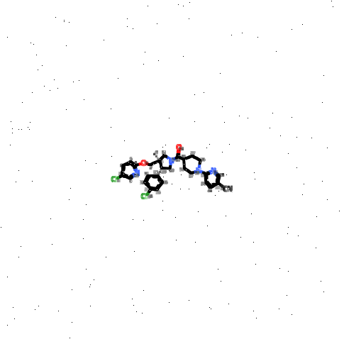 C[C@]1(COc2ccc(Cl)cn2)CN(C(=O)C2CCN(c3ccc(C#N)cn3)CC2)C[C@@H]1c1ccc(Cl)cc1